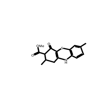 COC(=O)C1C(=O)C2=C(CC1C)Nc1ccc(C)cc1S2